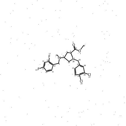 COC(=O)C1CC(N(C)Cc2ccc(F)cc2F)CN1Cc1ccc(Cl)c(Cl)c1